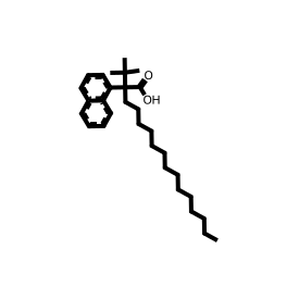 CCCCCCCCCCCCCCC(C(=O)O)(c1cccc2ccccc12)C(C)(C)C